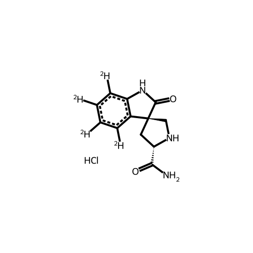 Cl.[2H]c1c([2H])c([2H])c2c(c1[2H])NC(=O)[C@@]21CN[C@H](C(N)=O)C1